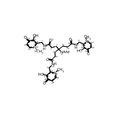 CNC(CCC(=O)NCc1c(O)c(=O)ccn1C)(CCC(=O)NCc1c(O)c(=O)ccn1C)CCC(=O)NCc1c(O)c(=O)ccn1C